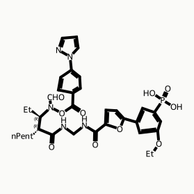 CCCCC[C@@H](C(=O)NCNC(=O)c1ccc(-c2cc(OCC)cc(P(=O)(O)O)c2)o1)[C@@H](CC)N(C=O)OC(=O)c1ccc(-n2cccn2)cc1